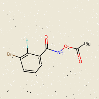 CC(C)(C)C(=O)ONC(=O)c1cccc(Br)c1F